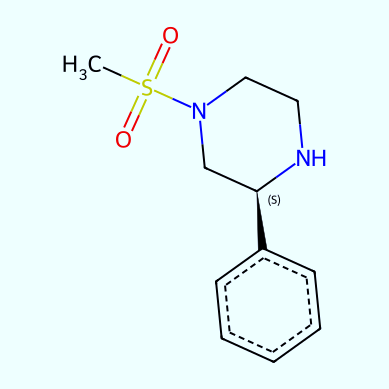 CS(=O)(=O)N1CCN[C@@H](c2ccccc2)C1